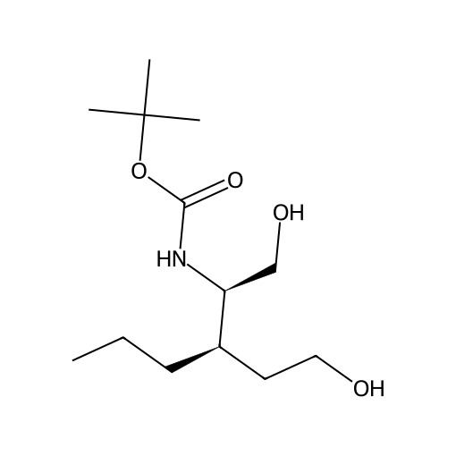 CCC[C@H](CCO)[C@H](CO)NC(=O)OC(C)(C)C